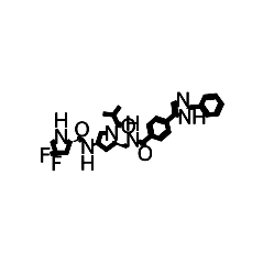 CC(C)C(=O)N1C[C@H](NC(=O)[C@@H]2CC(F)(F)CN2)C[C@@H]1CNC(=O)c1ccc(-c2cnc(-c3ccccc3)[nH]2)cc1